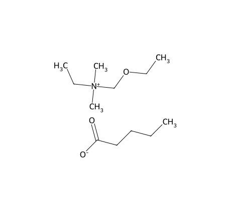 CCCCC(=O)[O-].CCOC[N+](C)(C)CC